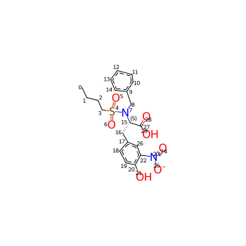 CCCCS(=O)(=O)N(Cc1ccccc1)[C@@H](Cc1ccc(O)c([N+](=O)[O-])c1)C(=O)O